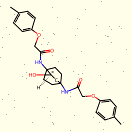 Cc1ccc(OCC(=O)NC23CCC(NC(=O)COc4ccc(C)cc4)(CC2)[C@H](O)C3)cc1